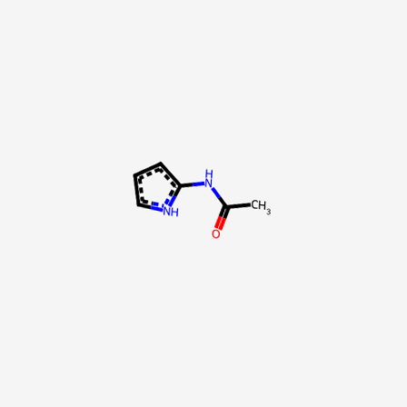 CC(=O)Nc1ccc[nH]1